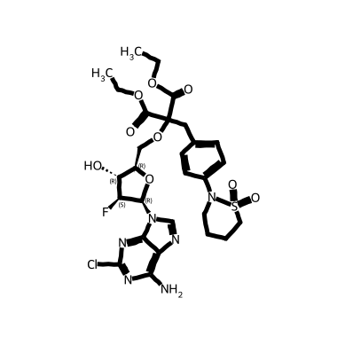 CCOC(=O)C(Cc1ccc(N2CCCCS2(=O)=O)cc1)(OC[C@H]1O[C@@H](n2cnc3c(N)nc(Cl)nc32)[C@@H](F)[C@@H]1O)C(=O)OCC